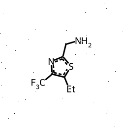 CCc1sc(CN)nc1C(F)(F)F